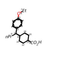 CCCC(c1ccc(OCC)cc1)C1CCC(C(=O)O)CC1